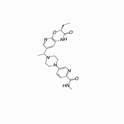 CC[C@@H]1Oc2ncc(C(C)N3CCN(c4ccc(C(=O)NC)nc4)CC3)cc2NC1=O